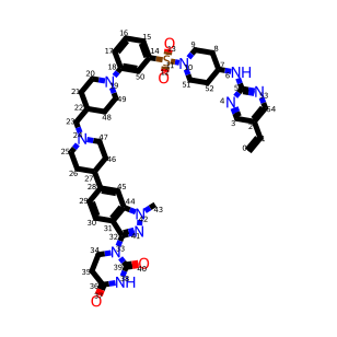 C=Cc1cnc(NC2CCN(S(=O)(=O)c3cccc(N4CCC(CN5CCC(c6ccc7c(N8CCC(=O)NC8=O)nn(C)c7c6)CC5)CC4)c3)CC2)nc1